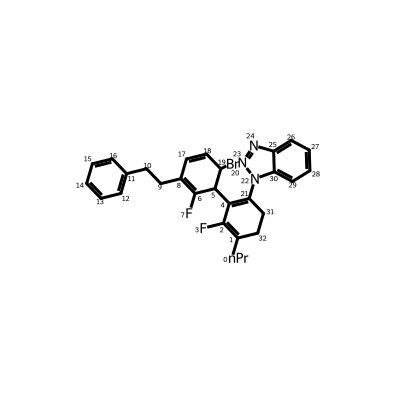 CCCC1=C(F)C(C2C(F)=C(CCc3ccccc3)C=CC2Br)=C(n2nnc3ccccc32)CC1